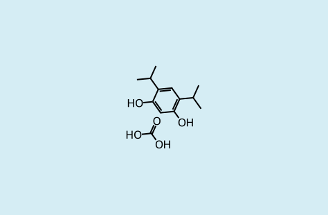 CC(C)c1cc(C(C)C)c(O)cc1O.O=C(O)O